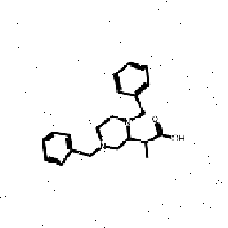 CC(C(=O)O)C1CN(Cc2ccccc2)CCN1Cc1ccccc1